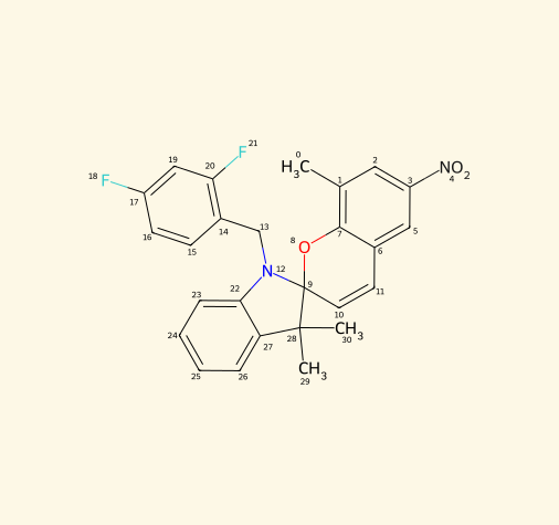 Cc1cc([N+](=O)[O-])cc2c1OC1(C=C2)N(Cc2ccc(F)cc2F)c2ccccc2C1(C)C